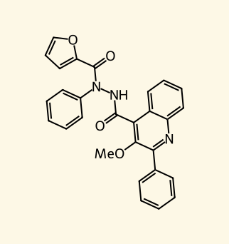 COc1c(-c2ccccc2)nc2ccccc2c1C(=O)NN(C(=O)c1ccco1)c1ccccc1